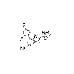 Cc1c(C(N)=O)n(C)c2c(-c3ccc(F)cc3F)cc(C#N)cc12